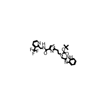 CC(C)(C)OC(=O)N(CCc1nc(C(=O)NCc2ncccc2C(F)(F)F)cs1)Cc1nc2ccccc2[nH]1